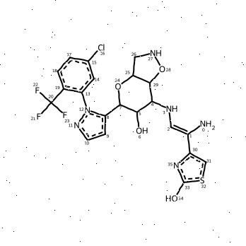 N/C(=C\NC1C(O)C(c2ccnn2-c2cc(Cl)ccc2C(F)(F)F)OC2CNOC21)c1csc(O)n1